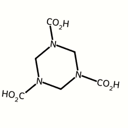 O=C(O)N1CN(C(=O)O)CN(C(=O)O)C1